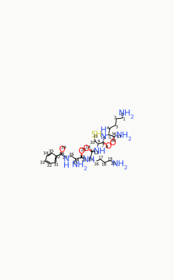 NCCCC[C@H](NC(=O)[C@H](CS)NC(=O)[C@H](CCCCN)NC(=O)[C@@H](N)CNC(=O)c1ccccc1)C(N)=O